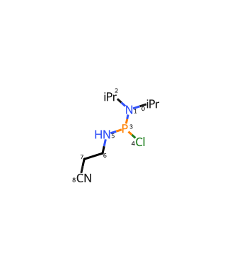 CC(C)N(C(C)C)P(Cl)NCCC#N